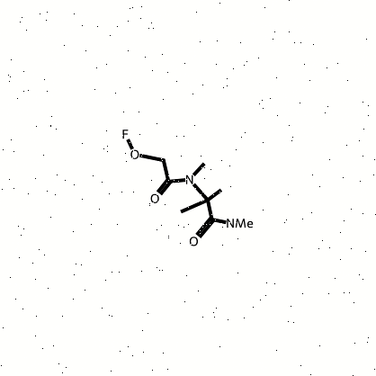 CNC(=O)C(C)(C)N(C)C(=O)COF